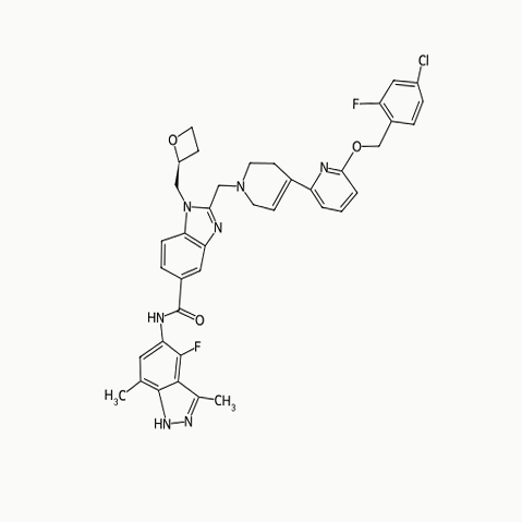 Cc1cc(NC(=O)c2ccc3c(c2)nc(CN2CC=C(c4cccc(OCc5ccc(Cl)cc5F)n4)CC2)n3C[C@@H]2CCO2)c(F)c2c(C)n[nH]c12